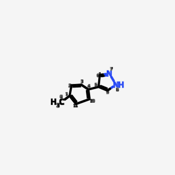 Cc1ccc(-c2[c]n[nH]c2)cc1